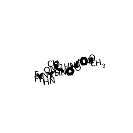 CCn1c(=C(C#N)C(=O)NCC(F)(F)F)sc(=CNc2cccc(NC(=O)CN3CCN(C(C)=O)CC3)c2)c1=O